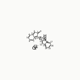 C=C1C=c2ccccc2=[C]1[Zr+2][c]1cc2ccccc2[nH]1.[Cl-].[Cl-]